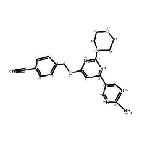 N#Cc1ccc(COc2cc(-c3cnc(N)nc3)nc(N3CCOCC3)n2)cc1